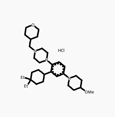 CCC1(CC)CCC(c2cc(N3CCC(OC)CC3)ccc2N2CCN(CC3CCOCC3)CC2)CC1.Cl